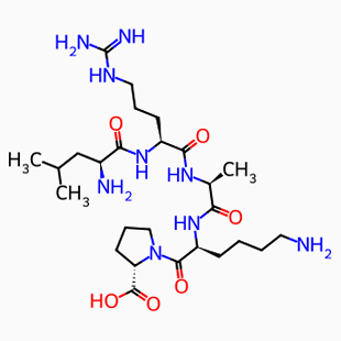 CC(C)C[C@H](N)C(=O)N[C@@H](CCCNC(=N)N)C(=O)N[C@@H](C)C(=O)N[C@@H](CCCCN)C(=O)N1CCC[C@H]1C(=O)O